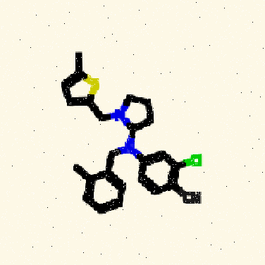 Cc1ccc(CN2CCCC2N(Cc2ccccc2C)c2ccc(C#N)c(Cl)c2)s1